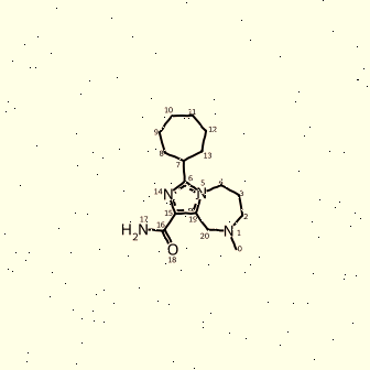 CN1CCCn2c(C3CCCCCC3)nc(C(N)=O)c2C1